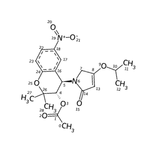 CC(=O)O[C@H]1[C@H](N2CC(OC(C)C)=CC2=O)c2cc([N+](=O)[O-])ccc2OC1(C)C